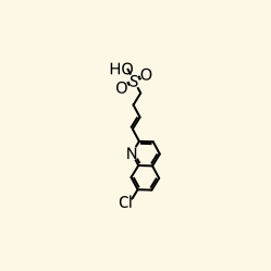 O=S(=O)(O)CCC=Cc1ccc2ccc(Cl)cc2n1